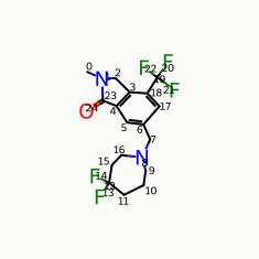 CN1Cc2c(cc(CN3CCCC(F)(F)CC3)cc2C(F)(F)F)C1=O